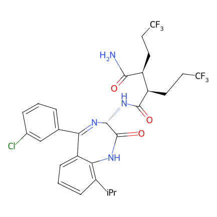 CC(C)c1cccc2c1NC(=O)[C@@H](NC(=O)[C@H](CCC(F)(F)F)[C@H](CCC(F)(F)F)C(N)=O)N=C2c1cccc(Cl)c1